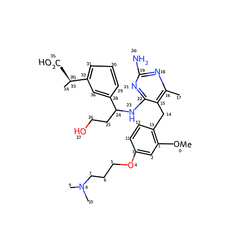 COc1cc(OCCCN(C)C)ccc1Cc1c(C)nc(N)nc1NC(CCO)c1cccc([C@@H](C)C(=O)O)c1